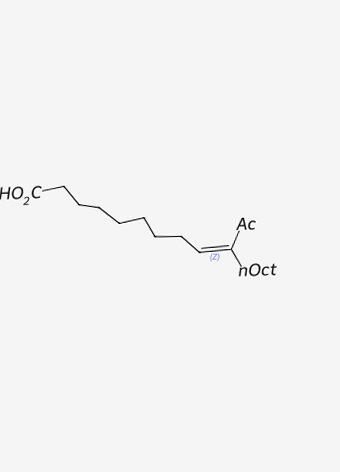 CCCCCCCC/C(=C/CCCCCCCC(=O)O)C(C)=O